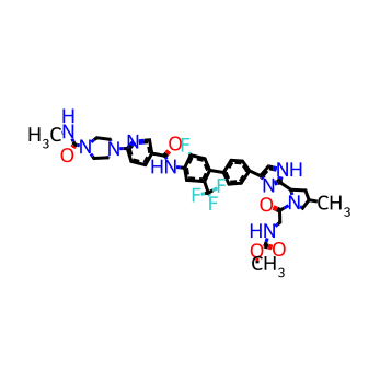 CNC(=O)N1CCN(c2ccc(C(=O)Nc3cc(C(F)(F)F)c(-c4ccc(-c5c[nH]c(C6CC(C)CN6C(=O)CNC(=O)OC)n5)cc4)cc3F)cn2)CC1